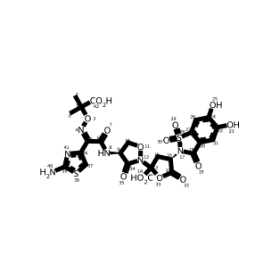 CC(C)(O/N=C(\C(=O)N[C@H]1CON(C2(C(=O)O)C[C@H](N3C(=O)c4cc(O)c(O)cc4S3(=O)=O)C(=O)O2)C1=O)c1csc(N)n1)C(=O)O